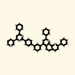 c1ccc(-c2cc(-c3cccnc3)nc(-c3ccc(-c4cccc(-c5cc(-c6ccccc6)nc6c5ccc5ccc(-c7ccccc7)nc56)c4)cc3)n2)cc1